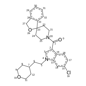 O=C(c1cn(CCC2CCOCC2)c2cc(Cl)ccc12)N1CCC2(CC1)OCc1ccccc12